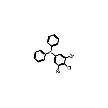 Clc1c(Br)cc(N(c2ccccc2)c2ccccc2)cc1Br